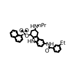 CCCNC1Cc2c([nH]c3ccc(NC(=O)c4cccc(CC)c4)cc23)C(OS(=O)(=O)c2cccc3ccccc23)C1